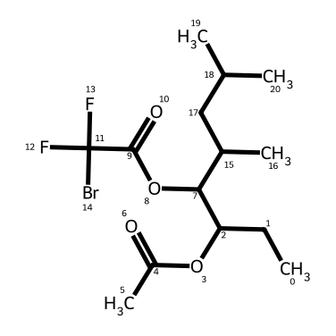 CCC(OC(C)=O)C(OC(=O)C(F)(F)Br)C(C)CC(C)C